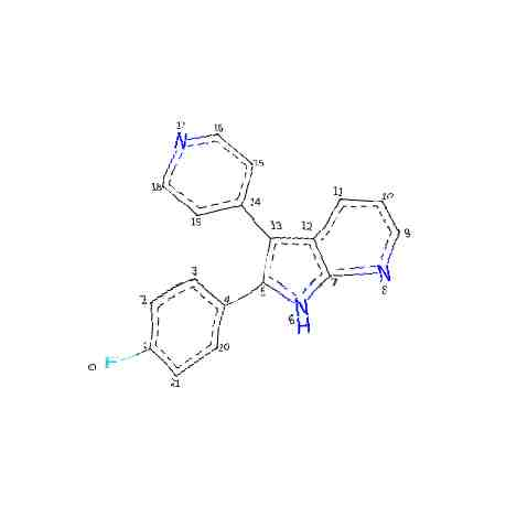 Fc1ccc(-c2[nH]c3ncccc3c2-c2ccncc2)cc1